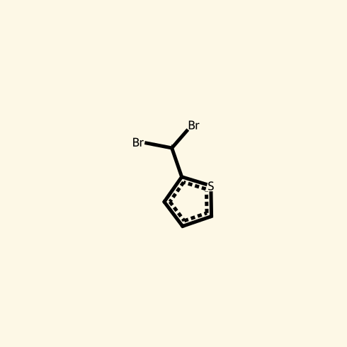 Br[C](Br)c1cccs1